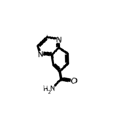 NC(=O)c1ccc2n[c]cnc2c1